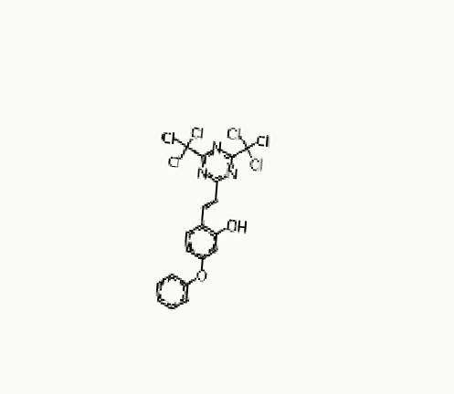 Oc1cc(Oc2ccccc2)ccc1C=Cc1nc(C(Cl)(Cl)Cl)nc(C(Cl)(Cl)Cl)n1